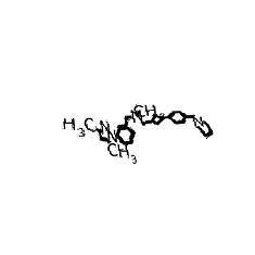 Cc1cc(C)n(-c2cccc(CN(C)CC3CC(c4ccc(CN5CCCC5)cc4)C3)c2)n1